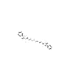 O=C(NCCCCCCNC(=O)NS(=O)(=O)c1ccccc1)NS(=O)(=O)c1ccccc1